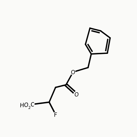 O=C(CC(F)C(=O)O)OCc1ccccc1